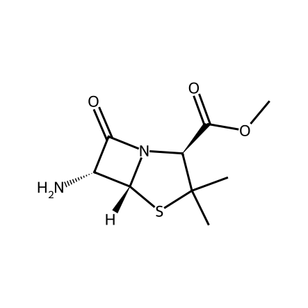 COC(=O)[C@@H]1N2C(=O)[C@@H](N)[C@H]2SC1(C)C